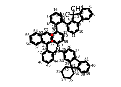 CC1(C)c2ccccc2-c2cccc(-c3ccccc3-c3ccc(N(c4ccc5c(c4)C4(CCCCC4)c4ccccc4-5)c4ccccc4-c4cccc5ccccc45)cc3)c21